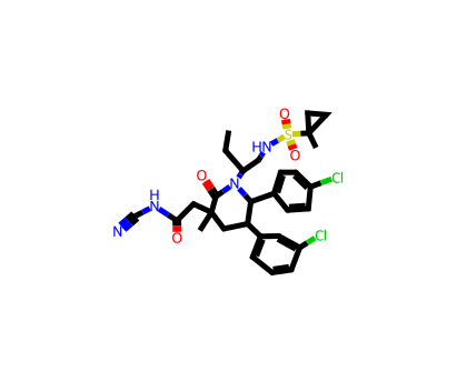 CCC(CNS(=O)(=O)C1(C)CC1)N1C(=O)C(C)(CC(=O)NC#N)CC(c2cccc(Cl)c2)C1c1ccc(Cl)cc1